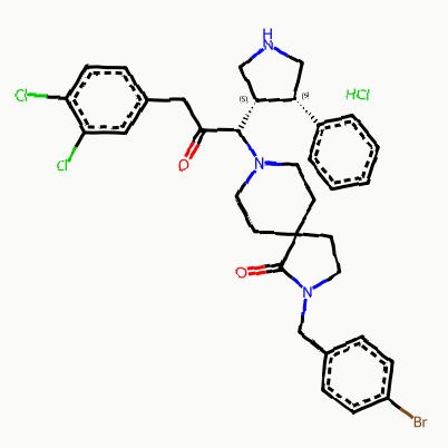 Cl.O=C(Cc1ccc(Cl)c(Cl)c1)C([C@@H]1CNC[C@@H]1c1ccccc1)N1CCC2(CCN(Cc3ccc(Br)cc3)C2=O)CC1